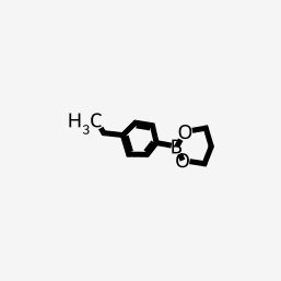 CCc1ccc(B2OCCCO2)cc1